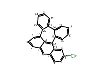 Clc1ccc2cc3cccc4c3c(c2c1)-c1ccccc1-c1ccccc1-4